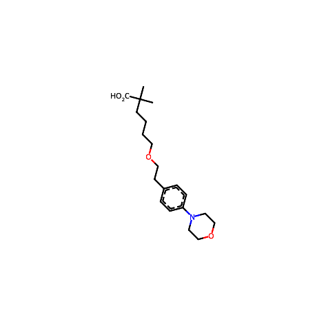 CC(C)(CCCCOCCc1ccc(N2CCOCC2)cc1)C(=O)O